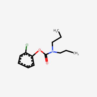 CCCN(CCC)C(=O)Oc1ccccc1Cl